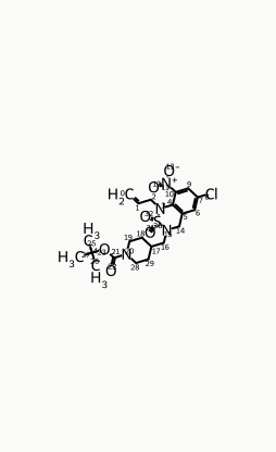 C=CCN1c2c(cc(Cl)cc2[N+](=O)[O-])CN(CC2CCN(C(=O)OC(C)(C)C)CC2)S1(=O)=O